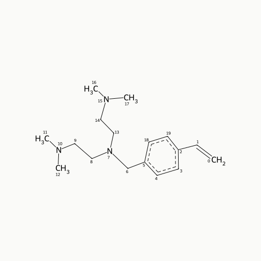 C=Cc1ccc(CN(CCN(C)C)CCN(C)C)cc1